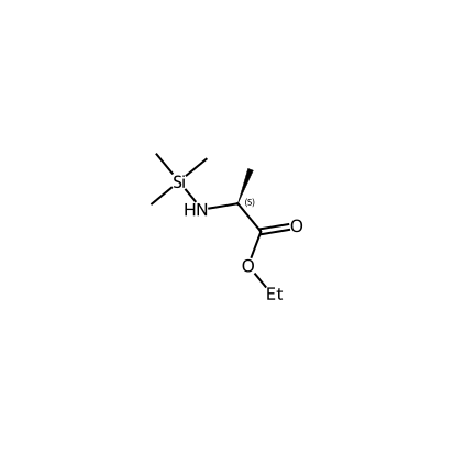 CCOC(=O)[C@H](C)N[Si](C)(C)C